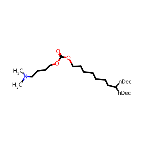 CCCCCCCCCCC(CCCCCCCCCC)CCCCCCCOC(=O)OCCCCN(C)C